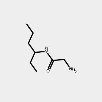 CCCC(CC)NC(=O)CN